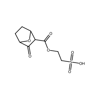 O=C(OCCS(=O)(=O)O)C1C(=O)C2CCC1O2